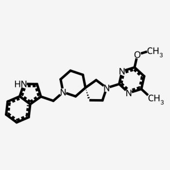 COc1cc(C)nc(N2CC[C@]3(CCCN(Cc4c[nH]c5ccccc45)C3)C2)n1